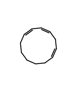 C1=CCC=CCCCCCC=C1